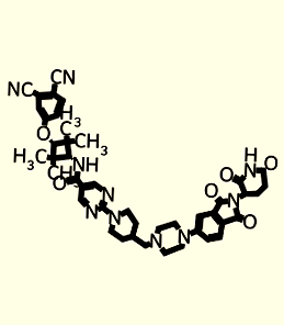 CC1(C)[C@H](NC(=O)c2cnc(N3CCC(CN4CCN(c5ccc6c(c5)C(=O)N(C5CCC(=O)NC5=O)C6=O)CC4)CC3)nc2)C(C)(C)[C@H]1Oc1ccc(C#N)c(C#N)c1